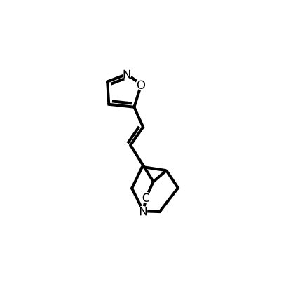 C(=CC1CN2CCC1CC2)c1ccno1